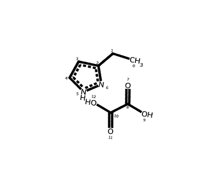 CCc1cc[nH]n1.O=C(O)C(=O)O